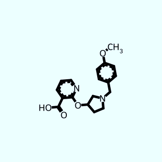 COc1ccc(CN2CCC(Oc3ncccc3C(=O)O)C2)cc1